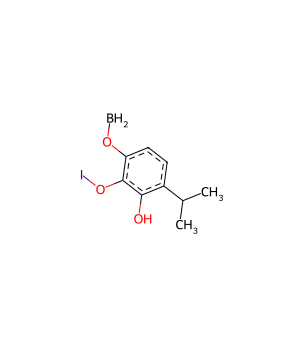 BOc1ccc(C(C)C)c(O)c1OI